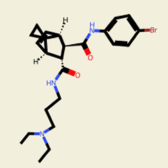 CCN(CC)CCCNC(=O)[C@H]1[C@H](C(=O)Nc2ccc(Br)cc2)[C@@H]2C=C[C@H]1C21CC1